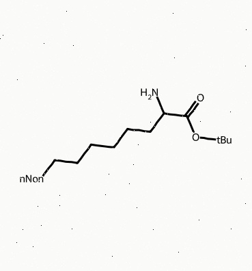 CCCCCCCCCCCCCCCC(N)C(=O)OC(C)(C)C